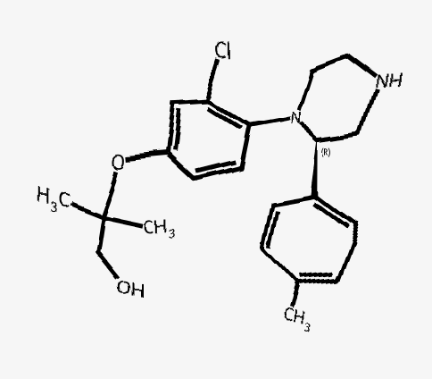 Cc1ccc([C@@H]2CNCCN2c2ccc(OC(C)(C)CO)cc2Cl)cc1